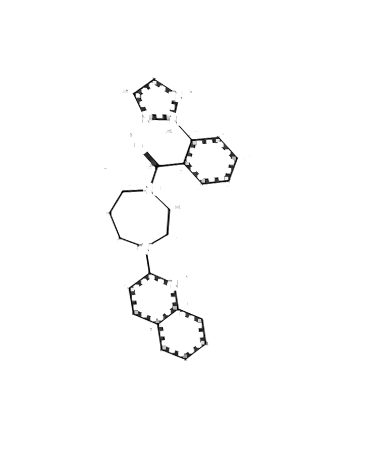 C[C@H]1CCN(c2ccc3ccccc3n2)CCN1C(=O)c1ccccc1-n1nccn1